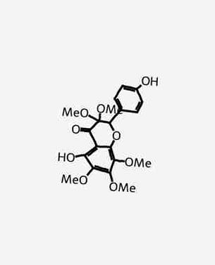 COc1c(O)c2c(c(OC)c1OC)OC(c1ccc(O)cc1)C(OC)(OC)C2=O